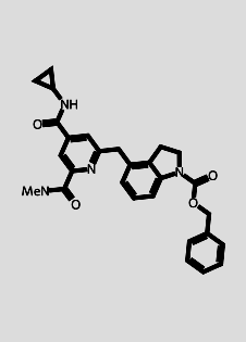 CNC(=O)c1cc(C(=O)NC2CC2)cc(Cc2cccc3c2CCN3C(=O)OCc2ccccc2)n1